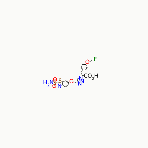 NS(=O)(=O)c1nc2ccc(OCc3cn(C(Cc4ccc(OCCF)cc4)C(=O)O)nn3)cc2s1